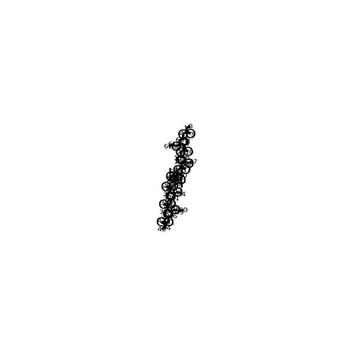 C=CC(=O)Oc1ccc(C(=O)Oc2ccc(C(=O)O[C@H]3CO[C@H]4[C@@H]3OC[C@H]4OC(=O)c3ccc(OC(=O)c4ccc(OC(=O)C=C)cc4OCC)cc3OC)c(OC)c2)c(OCC)c1